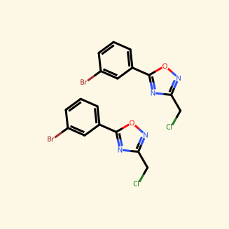 ClCc1noc(-c2cccc(Br)c2)n1.ClCc1noc(-c2cccc(Br)c2)n1